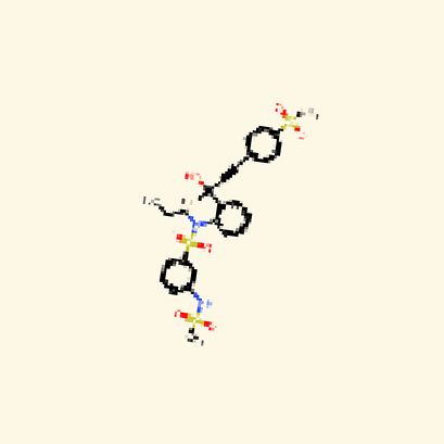 CS(=O)(=O)Nc1cccc(S(=O)(=O)N(CCC(F)(F)F)c2ccccc2C(O)(C#Cc2ccc(S(C)(=O)=O)cc2)C(F)(F)F)c1